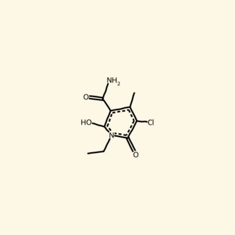 CCn1c(O)c(C(N)=O)c(C)c(Cl)c1=O